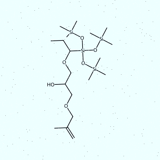 C=C(C)COCC(O)COC(CC)[Si](O[Si](C)(C)C)(O[Si](C)(C)C)O[Si](C)(C)C